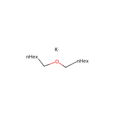 CCCCCCCOCCCCCCC.[K]